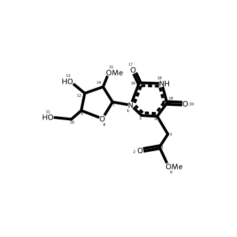 COC(=O)Cc1cn(C2OC(CO)C(O)C2OC)c(=O)[nH]c1=O